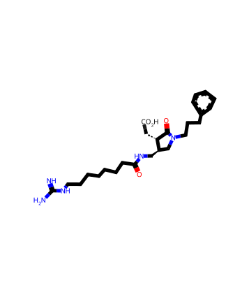 N=C(N)NCCCCCCCC(=O)NC[C@@H]1CN(CCCc2ccccc2)C(=O)[C@H]1CC(=O)O